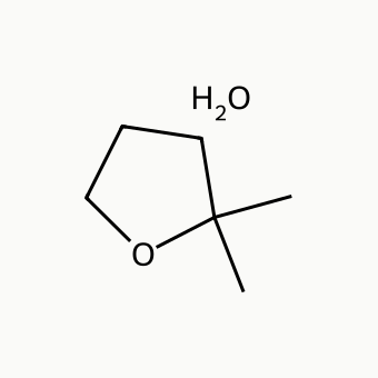 CC1(C)CCCO1.O